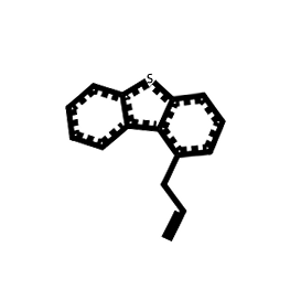 C=CCc1cccc2sc3ccccc3c12